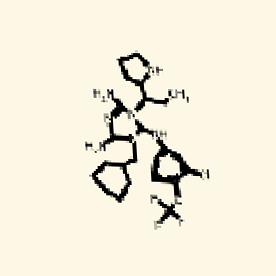 CCC(C1CCCN1)N1C(N)=NC(N)N(CC2CCCCC2)C1Nc1ccc(OC(F)(F)F)c(Cl)c1